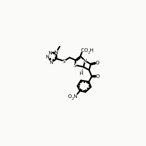 Cn1nnnc1SCC1=C(C(=O)O)N2C(=O)C(C(=O)c3ccc([N+](=O)[O-])cc3)[C@H]2S1